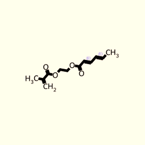 C=C(C)C(=O)OCCOC(=O)/C=C/C=C/C